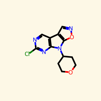 Clc1ncc2c3cnoc3n(C3CCOCC3)c2n1